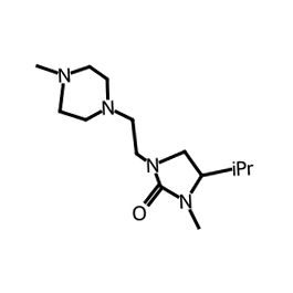 CC(C)C1CN(CCN2CCN(C)CC2)C(=O)N1C